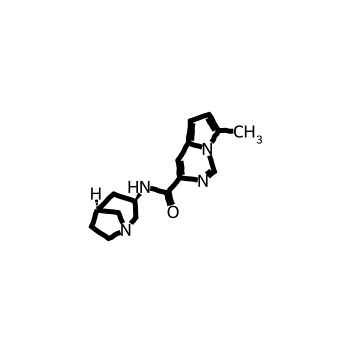 Cc1ccc2cc(C(=O)N[C@@H]3C[C@@H]4CCN(C4)C3)ncn12